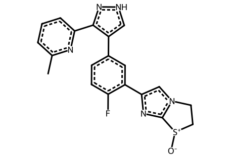 Cc1cccc(-c2n[nH]cc2-c2ccc(F)c(-c3cn4c(n3)[S+]([O-])CC4)c2)n1